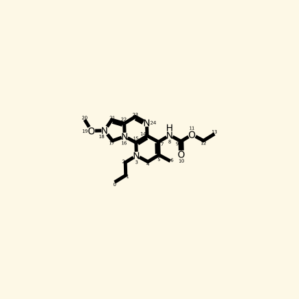 CCCN1CC(C)=C(NC(=O)OCC)C2=C1N1CN(OC)C=C1C=N2